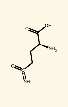 N=[SH](=O)CC[C@H](N)C(=O)O